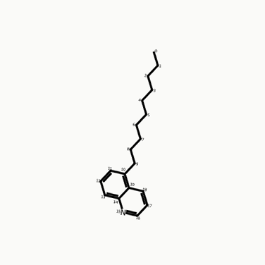 CCCCCCCCCCc1cccc2ncccc12